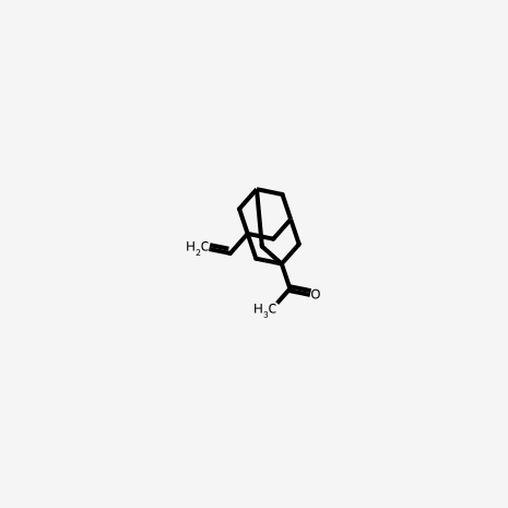 C=CC12CC3CC(C1)CC(C(C)=O)(C3)C2